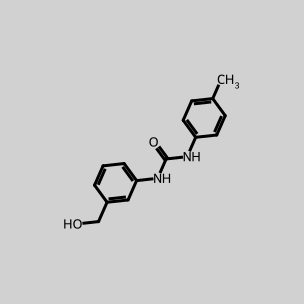 Cc1ccc(NC(=O)Nc2cccc(CO)c2)cc1